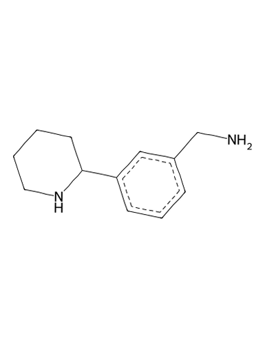 NCc1cccc(C2CCCCN2)c1